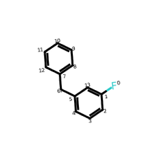 Fc1cccc([CH]c2ccccc2)c1